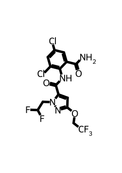 NC(=O)c1cc(Cl)cc(Cl)c1NC(=O)c1cc(OCC(F)(F)F)nn1CC(F)F